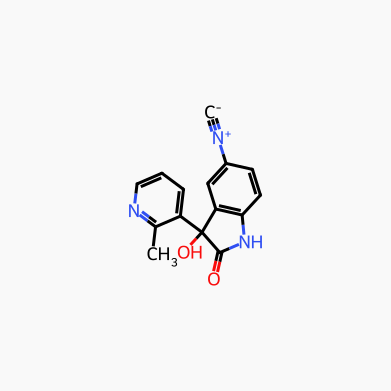 [C-]#[N+]c1ccc2c(c1)C(O)(c1cccnc1C)C(=O)N2